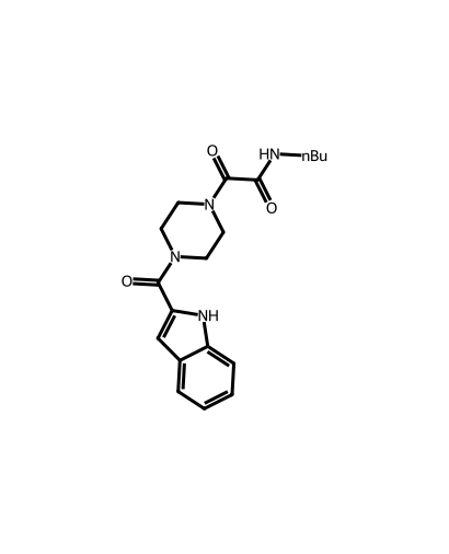 CCCCNC(=O)C(=O)N1CCN(C(=O)c2cc3ccccc3[nH]2)CC1